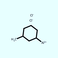 CC1CCC[CH]([Al+2])C1.[Cl-].[Cl-]